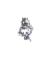 CC1(C)/C=C/C=C(\N)C(C)(C)/C(N)=C/C=C/C(C)(C)/C=C/C=C(\N)C(C)(c2ccc(N)cc2)/C(N)=C/C=C/1